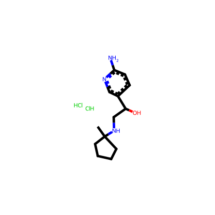 CC1(NCC(O)c2ccc(N)nc2)CCCC1.Cl.Cl